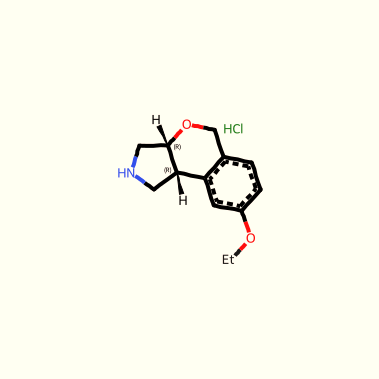 CCOc1ccc2c(c1)[C@@H]1CNC[C@@H]1OC2.Cl